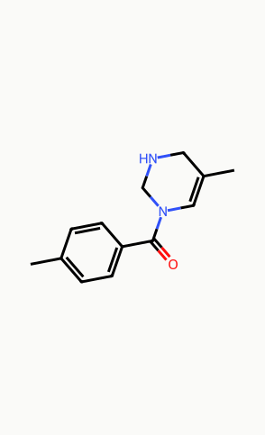 CC1=CN(C(=O)c2ccc(C)cc2)CNC1